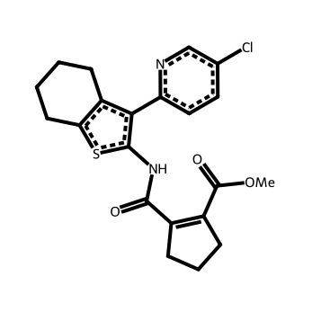 COC(=O)C1=C(C(=O)Nc2sc3c(c2-c2ccc(Cl)cn2)CCCC3)CCC1